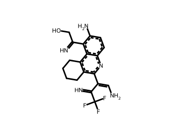 N=C(CO)c1c(N)ccc2nc(/C(=C/N)C(=N)C(F)(F)F)c3c(c12)CCCC3